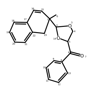 CC1(C2OCC(C(=O)c3ccccc3)O2)C=Cc2ccccc2C1